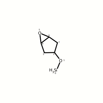 [SiH3]OC1CC2OC2C1